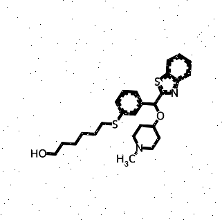 CN1CCC(OC(c2cccc(SCCCCCCO)c2)c2nc3ccccc3s2)CC1